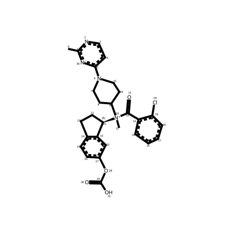 Cc1nccc(N2CCC([N+](C)(C(=O)c3ccccc3Cl)[C@@H]3CCc4ccc(OC(=O)O)cc43)CC2)n1